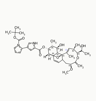 C=C1O[C@H](C(C)O)[C@H](C)/C=C(\C)[C@]23O[C@@H]4[C@H](C=CC2C[C@@H]1OC)[C@H]3[C@H](O)[C@@H](C)[C@H]4OC(=O)c1cc(-c2cccn2C(=O)OC(C)(C)C)c[nH]1